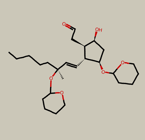 CCCCC[C@@](C)(C=C[C@@H]1[C@@H](CC=O)[C@@H](O)C[C@H]1OC1CCCCO1)OC1CCCCO1